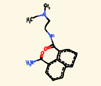 CN(C)CCNC(=O)c1cccc2cccc(C(N)=O)c12